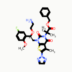 COc1ccc(F)cc1[C@H](Cn1c(=O)n(C(C)(C)C(=O)OCc2ccccc2)c(=O)c2c(C)c(-n3nccn3)sc21)OCCN